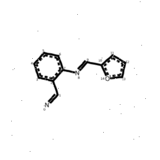 [N]=Cc1ccccc1N=Cc1ccco1